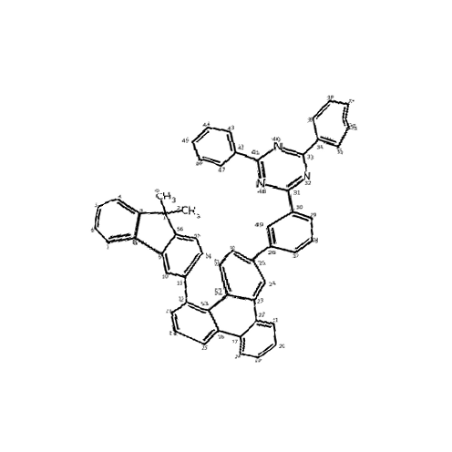 CC1(C)c2ccccc2-c2cc(-c3cccc4c5ccccc5c5cc(-c6cccc(-c7nc(-c8ccccc8)nc(-c8ccccc8)n7)c6)ccc5c34)ccc21